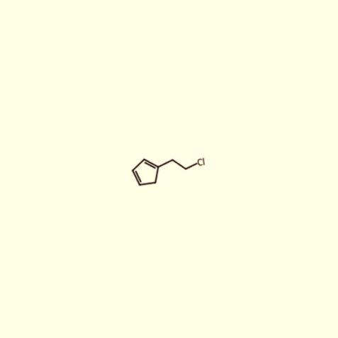 ClCCC1=CC=CC1